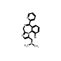 CN(C)Cc1cnc2n1-c1c(Br)cccc1C(c1ccccn1)=NC2